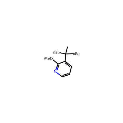 CCCCC(C)(CCCC)c1cccnc1OC